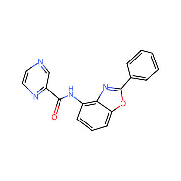 O=C(Nc1cccc2oc(-c3ccccc3)nc12)c1cnccn1